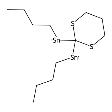 CCC[CH2][Sn][C]1([Sn][CH2]CCC)SCCCS1